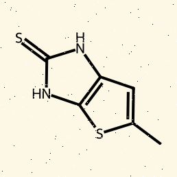 Cc1cc2[nH]c(=S)[nH]c2s1